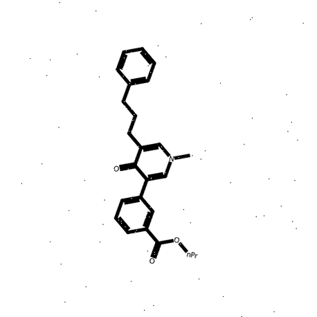 CCCOC(=O)c1cccc(-c2cn(C)cc(CCCc3ccccc3)c2=O)c1